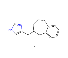 c1ccc2c(c1)CCCC(Cc1c[nH]cn1)C2